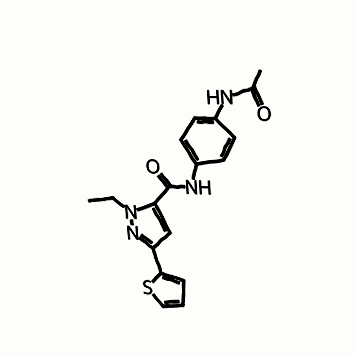 CCn1nc(-c2cccs2)cc1C(=O)Nc1ccc(NC(C)=O)cc1